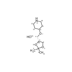 CC1(C)OC[C@@H](COC2CCNCC2)O1.Cl